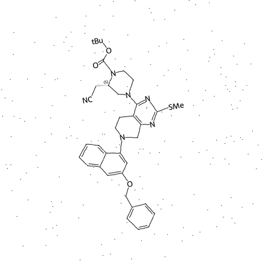 CSc1nc2c(c(N3CCN(C(=O)OC(C)(C)C)[C@@H](CC#N)C3)n1)CCN(c1cc(OCc3ccccc3)cc3ccccc13)C2